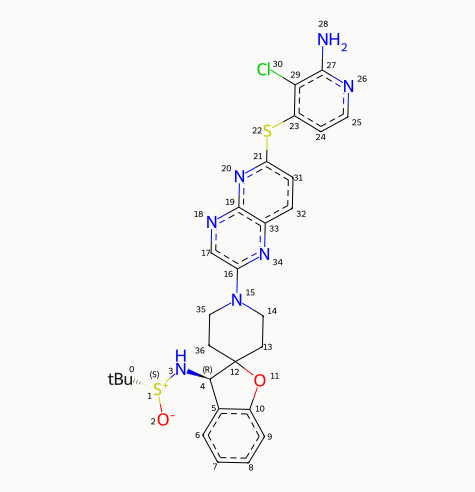 CC(C)(C)[S@@+]([O-])N[C@@H]1c2ccccc2OC12CCN(c1cnc3nc(Sc4ccnc(N)c4Cl)ccc3n1)CC2